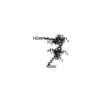 CCCCCCCCCCCCCCCCCCCN(C(N)=O)c1nc(N)nc(N(C(N)=O)c2ccc(-c3ccc(N(C(N)=O)c4nc(N)nc(N(CCCCCCCCCCCCCCCCCCC)C(N)=O)n4)c(C)c3)cc2C)n1